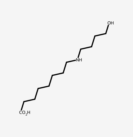 O=C(O)CCCCCCCNCCCCO